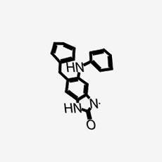 O=C1[N]c2cc(Nc3ccccc3)c(Cc3ccccc3)cc2N1